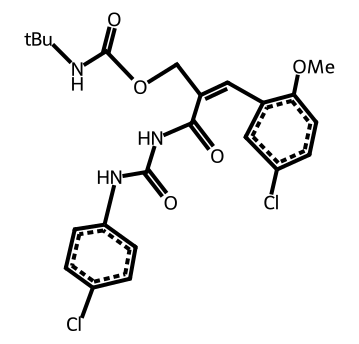 COc1ccc(Cl)cc1C=C(COC(=O)NC(C)(C)C)C(=O)NC(=O)Nc1ccc(Cl)cc1